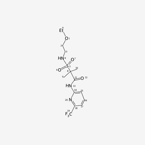 CCOCCNS(=O)(=O)C(C)(C)C(=O)Nc1cccc(C(F)(F)F)n1